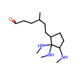 CNC1CCC(CCC(C)CCC=O)C1(NC)NC